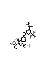 CCOC(=O)c1cn(O)c2ccc(Oc3cc(C(F)(F)F)cc(C(F)(F)F)c3)cc2c1=O